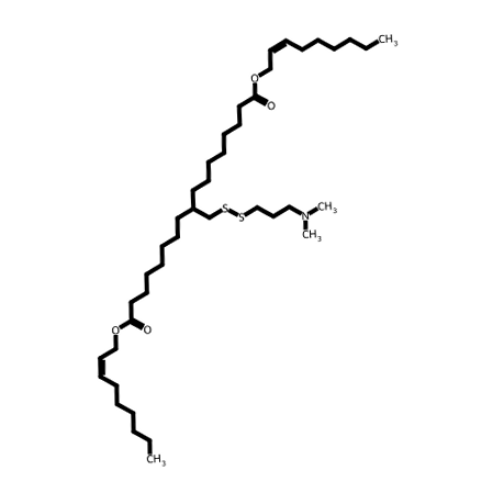 CCCCCC/C=C\COC(=O)CCCCCCCC(CCCCCCCC(=O)OC/C=C\CCCCCC)CSSCCCN(C)C